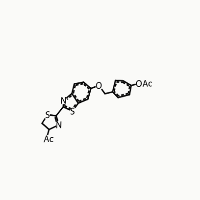 CC(=O)Oc1ccc(COc2ccc3nc(C4=NC(C(C)=O)CS4)sc3c2)cc1